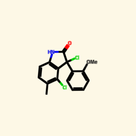 COc1ccccc1C1(Cl)C(=O)Nc2ccc(C)c(Cl)c21